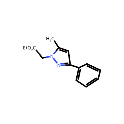 CCOC(=O)Cn1nc(-c2ccccc2)cc1C